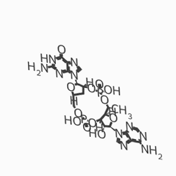 C[C@H]1OP(=O)(O)O[C@@H]2C[C@@H](COP(=O)(O)O[C@H]3[C@@H](O)[C@H](n4cnc5c(N)ncnc54)O[C@@H]31)O[C@H]2n1cnc2c(=O)[nH]c(N)nc21